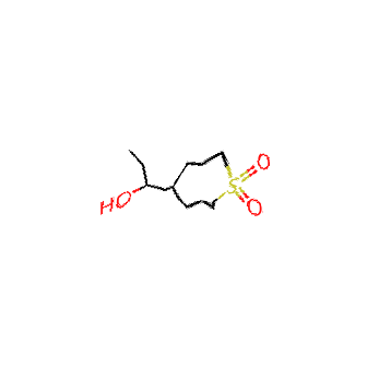 CC(O)C1CCS(=O)(=O)CC1